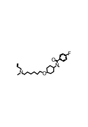 C=CCN(C)CCCCCCOC1CCC(N(C)C(=O)c2ccc(F)cc2)CC1